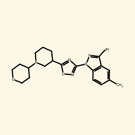 Cc1ccc2c(c1)c(C(C)C)nn2-c1noc(C2CCCN(C3CCOCC3)C2)n1